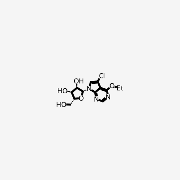 CCOc1ncnc2c1c(Cl)cn2[C@@H]1O[C@H](CO)[C@@H](O)[C@H]1O